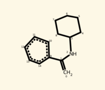 C=C(NC1CCCCC1)c1ccccc1